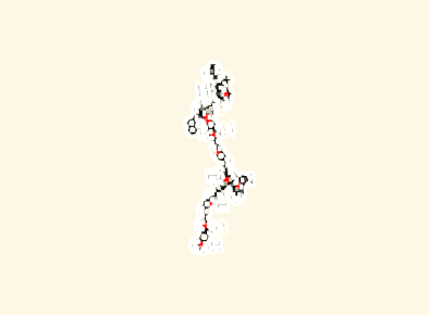 CN1C(=O)C[C@H](C(=O)N(CC(=O)NCCOC2CCC(OCCCC(=O)NC3CCC(C(=O)O)CC3)CC2)CC(=O)NCCOC2CCC(OCCCC(=O)NC3CCC(C(=O)N[C@@H](Cc4ccc5ccccc5c4)C(=O)NCCCC[C@H](NC(=O)N[C@@H](CCC(=O)OC(C)(C)C)C(=O)OC(C)(C)C)C(=O)OC(C)(C)C)CC3)CC2)[C@H]1c1cccnc1